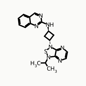 CC(C)N1SN([C@H]2C[C@H](Nc3ncc4ccccc4n3)C2)c2nccnc21